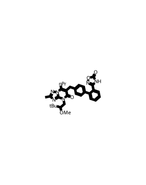 CCCc1c(Cc2ccc(-c3ccccc3-c3noc(=O)[nH]3)cc2)c(=O)n(CC(OC)C(C)(C)C)c2nc(C)nn12